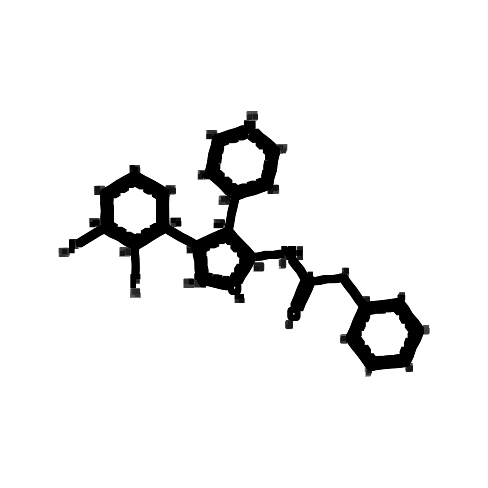 O=C(Cc1ccccc1)Nc1onc(-c2cccc(F)c2F)c1-c1ccncc1